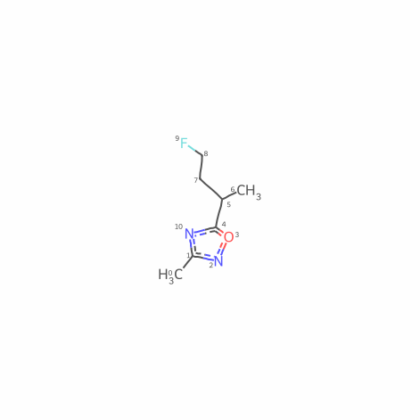 Cc1noc(C(C)CCF)n1